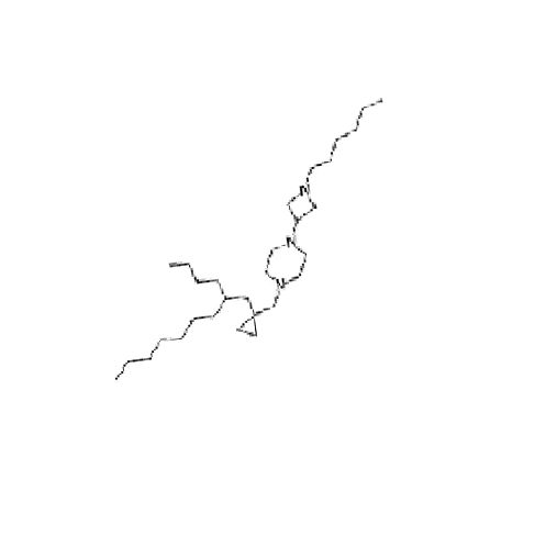 CCCCCCCC(CCCC)CC1(CN2CCN(C3CN(CCCCCC)C3)CC2)CC1